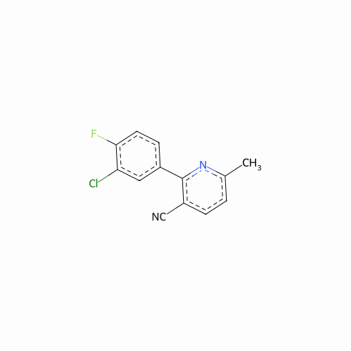 Cc1ccc(C#N)c(-c2ccc(F)c(Cl)c2)n1